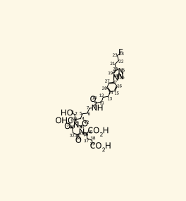 O=C[C@@](CO)(CCCCNC(=O)CCCc1ccc(-n2cc(CCCF)nn2)cc1)N1C(=O)CC(=O)N([C@@H](CCC(=O)O)C(=O)O)C1=O